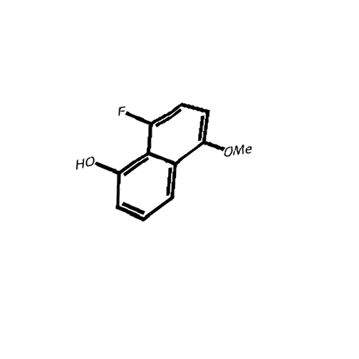 COc1ccc(F)c2c(O)cccc12